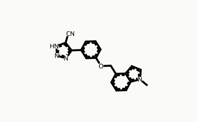 Cn1ccc2c(COc3cccc(-c4nn[nH]c4C#N)c3)cccc21